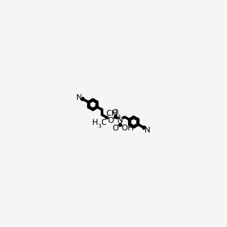 CC(C)(CCc1ccc(C#N)cc1)OC(=O)N(Cc1ccc(C#N)cc1)C(=O)O